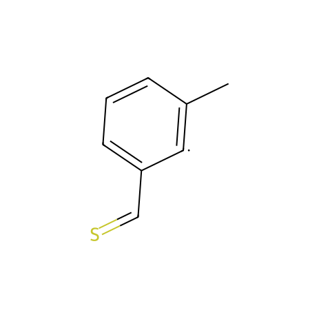 Cc1[c]c(C=S)ccc1